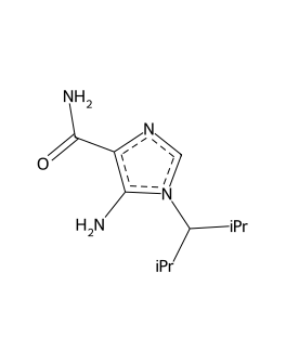 CC(C)C(C(C)C)n1cnc(C(N)=O)c1N